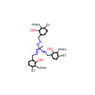 CCCCCCc1c(CC)ccc(C/N=N/[Si](C)(/N=N/Cc2ccc(CC)c(CCCCCC)c2O)/N=N/Cc2ccc(CC)c(CCCCCC)c2O)c1O